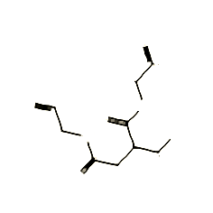 C=CCOC(=O)CC(CC(=O)O)C(=O)OCC=C